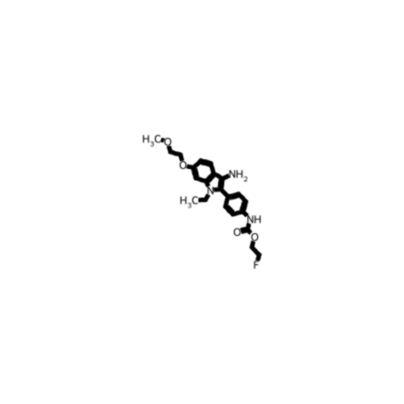 CCn1c(-c2ccc(NC(=O)OCCF)cc2)c(N)c2ccc(OCCOC)cc21